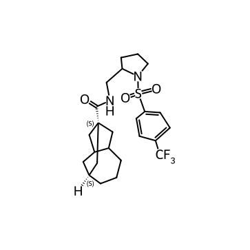 O=C(NCC1CCCN1S(=O)(=O)c1ccc(C(F)(F)F)cc1)[C@@]12CC3CCC[C@@H](CC3C1)C2